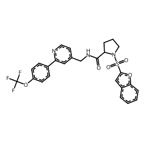 O=C(NCc1ccnc(-c2ccc(OC(F)(F)F)cc2)c1)C1CCCN1S(=O)(=O)c1cc2ccccc2o1